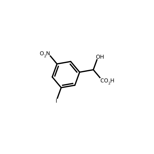 O=C(O)C(O)c1cc(I)cc([N+](=O)[O-])c1